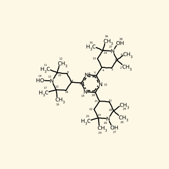 CC1(C)CC(c2nc(C3CC(C)(C)N(O)C(C)(C)C3)nc(C3CC(C)(C)N(O)C(C)(C)C3)n2)CC(C)(C)N1O